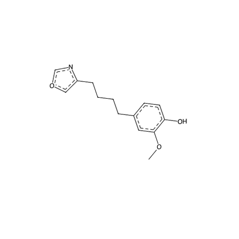 COc1cc(CCCCc2cocn2)ccc1O